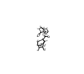 CC1C2CC(C(=O)OC3C4CC5C(=O)CC3C5C4)C(C2)C1C